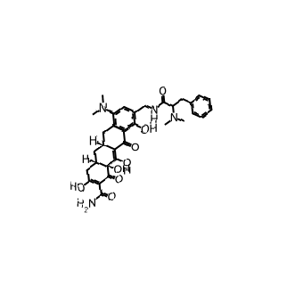 CN(C)c1cc(CNC(=O)C(Cc2ccccc2)N(C)C)c(O)c2c1C[C@H]1C[C@H]3CC(O)=C(C(N)=O)C(=O)[C@@]3(O)C(O)=C1C2=O